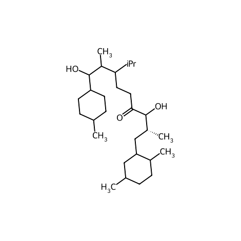 CC1CCC(C(O)C(C)C(CCC(=O)C(O)[C@H](C)CC2CC(C)CCC2C)C(C)C)CC1